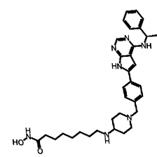 C[C@@H](Nc1ncnc2[nH]c(-c3ccc(CN4CCC(NCCCCCCCC(=O)NO)CC4)cc3)cc12)c1ccccc1